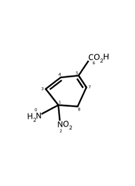 NC1([N+](=O)[O-])C=CC(C(=O)O)=CC1